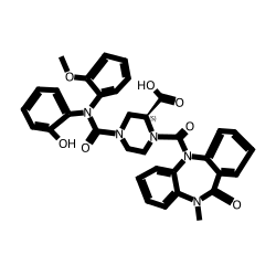 COc1ccccc1N(C(=O)N1CCN(C(=O)N2c3ccccc3C(=O)N(C)c3ccccc32)[C@H](C(=O)O)C1)c1ccccc1O